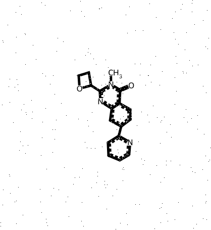 Cn1c(C2CCO2)nc2cc(-c3ccccn3)ccc2c1=O